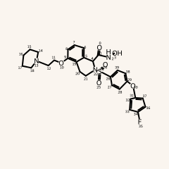 O=C(NO)C1c2cccc(OCCN3CCCCC3)c2CCN1S(=O)(=O)c1ccc(Oc2ccc(F)cc2)cc1